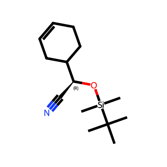 CC(C)(C)[Si](C)(C)O[C@@H](C#N)C1CC=CCC1